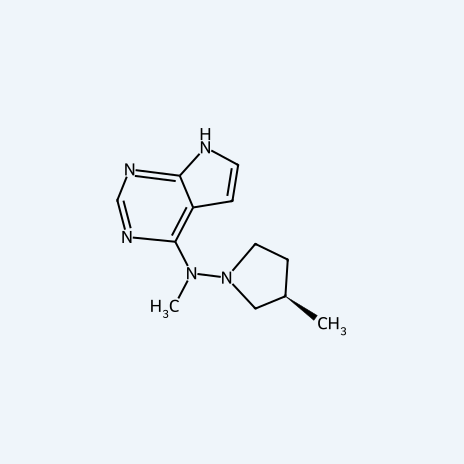 C[C@@H]1CCN(N(C)c2ncnc3[nH]ccc23)C1